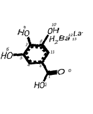 O=C(O)c1cc(O)c(O)c(O)c1.[BaH2].[La]